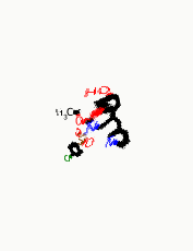 CCOC(=O)N(CC(Cc1cccnc1)c1ccc(O)cc1)S(=O)(=O)c1ccc(Cl)cc1